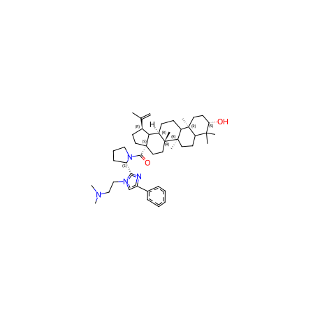 C=C(C)[C@@H]1CC[C@]2(C(=O)N3CCC[C@H]3c3nc(-c4ccccc4)cn3CCN(C)C)CC[C@]3(C)[C@H](CCC4[C@@]5(C)CC[C@H](O)C(C)(C)C5CC[C@]43C)C12